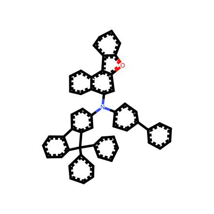 c1ccc(-c2ccc(N(c3ccc4c(c3)C(c3ccccc3)(c3ccccc3)c3ccccc3-4)c3cc4oc5ccccc5c4c4ccccc34)cc2)cc1